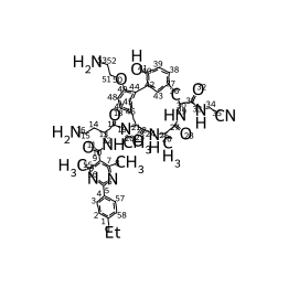 CCc1ccc(-c2nc(C)c(C(=O)NC(CCN)C(=O)N(C)C3C(=O)NC(C)C(=O)NC(C(=O)NCC#N)Cc4ccc(O)c(c4)-c4cc3ccc4OCCN)c(C)n2)cc1